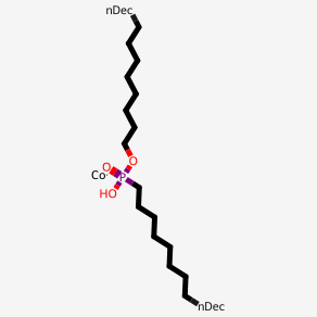 CCCCCCCCCCCCCCCCCCOP(=O)(O)CCCCCCCCCCCCCCCCCC.[Co]